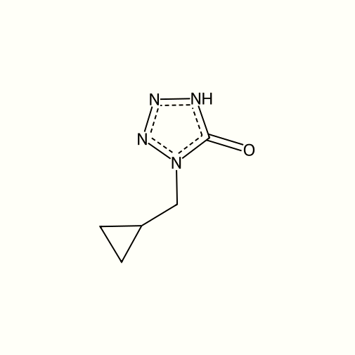 O=c1[nH]nnn1CC1CC1